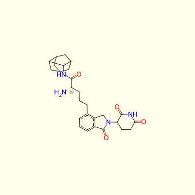 N[C@@H](CCCc1cccc2c1CN(C1CCC(=O)NC1=O)C2=O)C(=O)NC1C2CC3CC(C2)C1C3